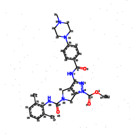 CCCCOC(=O)n1nc(NC(=O)c2ccc(N3CCN(C)CC3)cc2)c2c1CN(C(=O)Nc1c(CC)cccc1CC)C2